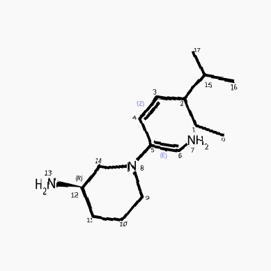 CCC(/C=C\C(=C/N)N1CCC[C@@H](N)C1)C(C)C